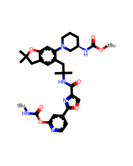 CC(C)(C)NC(=O)Oc1cc(-c2nc(C(=O)NC(C)(C)Cc3cc4c(cc3N3CCC[C@@H](NC(=O)OC(C)(C)C)C3)OC(C)(C)C4)co2)ccn1